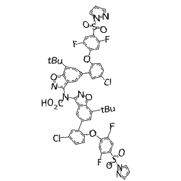 CC(C)(C)c1cc(-c2cc(Cl)ccc2Oc2cc(F)c(S(=O)(=O)n3cccn3)cc2F)cc2c(N(C(=O)O)c3noc4c(C(C)(C)C)cc(-c5cc(Cl)ccc5Oc5cc(F)c(S(=O)(=O)n6cccn6)cc5F)cc34)noc12